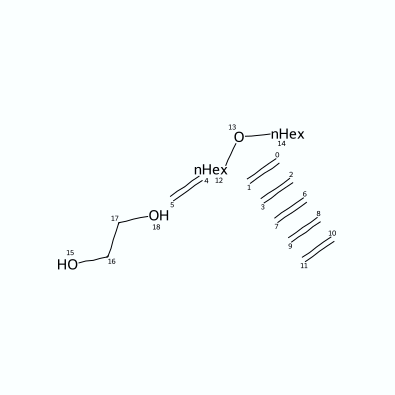 C=C.C=C.C=C.C=C.C=C.C=C.CCCCCCOCCCCCC.OCCO